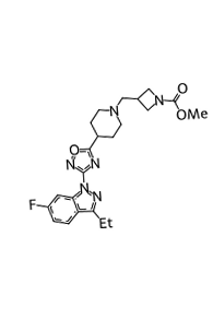 CCc1nn(-c2noc(C3CCN(CC4CN(C(=O)OC)C4)CC3)n2)c2cc(F)ccc12